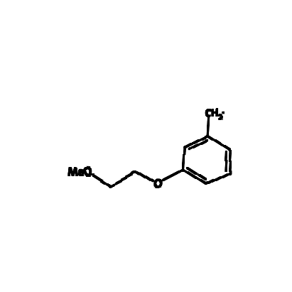 [CH2]c1cccc(OCCOC)c1